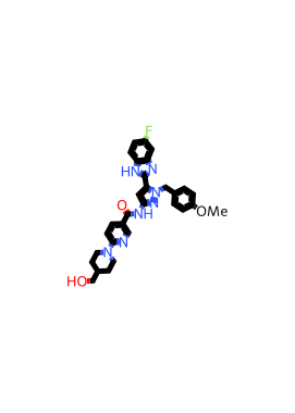 COc1ccc(Cn2nc(NC(=O)c3ccc(N4CCC(CO)CC4)nc3)cc2-c2nc3cc(F)ccc3[nH]2)cc1